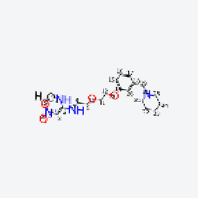 CNC(=C[N+](=O)[O-])NCCOCCOc1cccc(CN2CCCCC2)c1